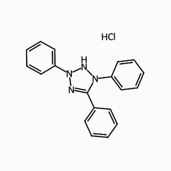 Cl.c1ccc(C2=NN(c3ccccc3)NN2c2ccccc2)cc1